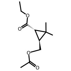 CCOC(=O)[C@H]1[C@H](COC(C)=O)C1(C)C